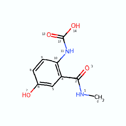 CNC(=O)c1cc(O)ccc1NC(=O)O